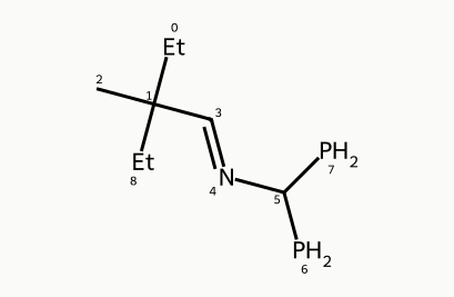 CCC(C)(/C=N/C(P)P)CC